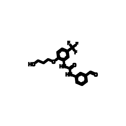 O=Cc1cccc(NC(=O)Nc2cc(C(F)(F)F)ccc2OCCCO)c1